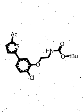 CC(=O)c1ccc(-c2ccc(Cl)c(OCCNC(=O)OC(C)(C)C)c2)s1